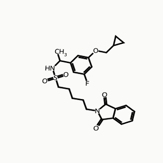 CC(NS(=O)(=O)CCCCCN1C(=O)c2ccccc2C1=O)c1cc(F)cc(OCC2CC2)c1